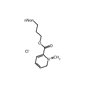 C=[N+]1CC=CC=C1C(=O)OCCCCCCCCCCCC.[Cl-]